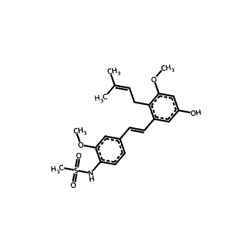 COc1cc(C=Cc2cc(O)cc(OC)c2CC=C(C)C)ccc1NS(C)(=O)=O